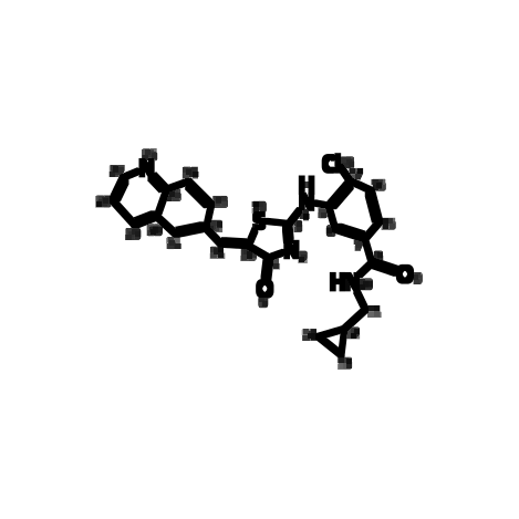 O=C1N=C(Nc2cc(C(=O)NCC3CC3)ccc2Cl)S/C1=C\c1ccc2ncccc2c1